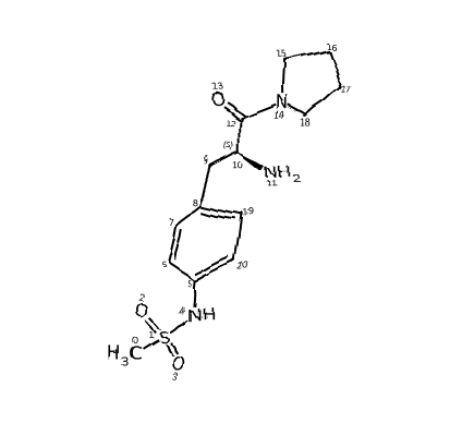 CS(=O)(=O)Nc1ccc(C[C@H](N)C(=O)N2CCCC2)cc1